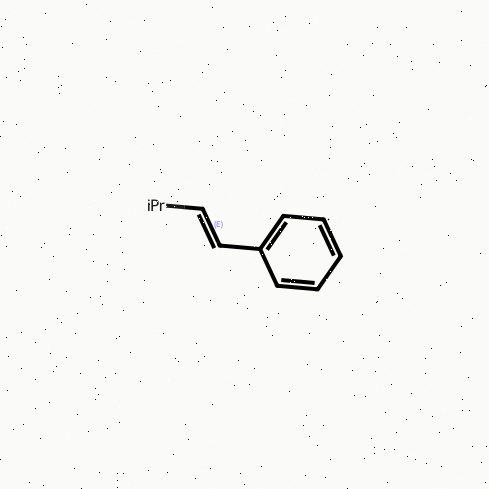 CC(C)/C=C/c1c[c]ccc1